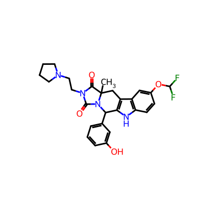 CC12Cc3c([nH]c4ccc(OC(F)F)cc34)C(c3cccc(O)c3)N1C(=O)N(CCN1CCCC1)C2=O